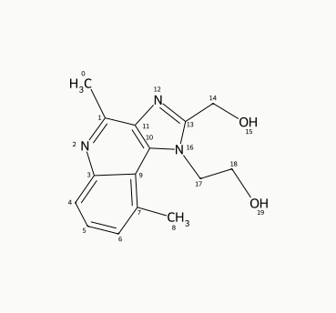 Cc1nc2cccc(C)c2c2c1nc(CO)n2CCO